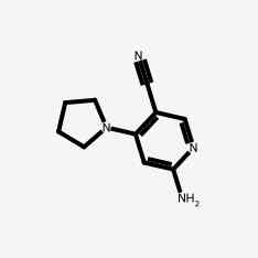 N#Cc1cnc(N)cc1N1CCCC1